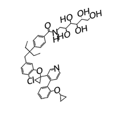 CCC(CC)(Cc1ccc(Cl)c(OC2(c3cnccc3-c3ccccc3OC3CC3)CC2)c1)c1ccc(C(=O)NC[C@H](O)[C@@H](O)[C@H](O)[C@H](O)CO)cc1